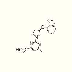 Cc1cc(C(=O)O)nc(N2CC[C@@H](Oc3ccccc3C(F)(F)F)C2)n1